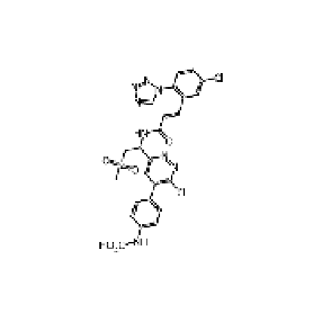 CS(=O)(=O)CC(NC(=O)C=Cc1cc(Cl)ccc1-n1cnnn1)c1cc(-c2ccc(NC(=O)O)cc2)c(Cl)nn1